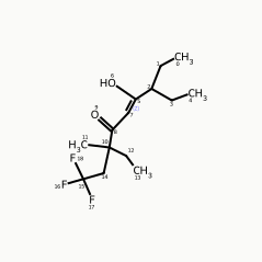 CCC(CC)/C(O)=C/C(=O)C(C)(CC)CC(F)(F)F